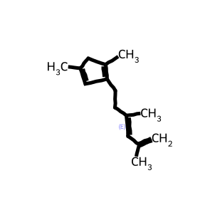 C=C(C)/C=C(\C)CCC1=C(C)CC(C)=C1